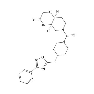 O=C1CO[C@H]2CCN(C(=O)N3CCC(Cc4nc(-c5ccccc5)no4)CC3)C[C@H]2N1